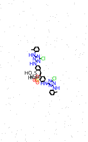 Cc1ccccc1Nc1nc(Cl)nc(Nc2ccc(C=Cc3ccc(Nc4nc(Cl)nc(Nc5ccccc5C)n4)cc3S(=O)(=O)O)c(S(=O)(=O)[O-])c2)n1.[H+].[NaH]